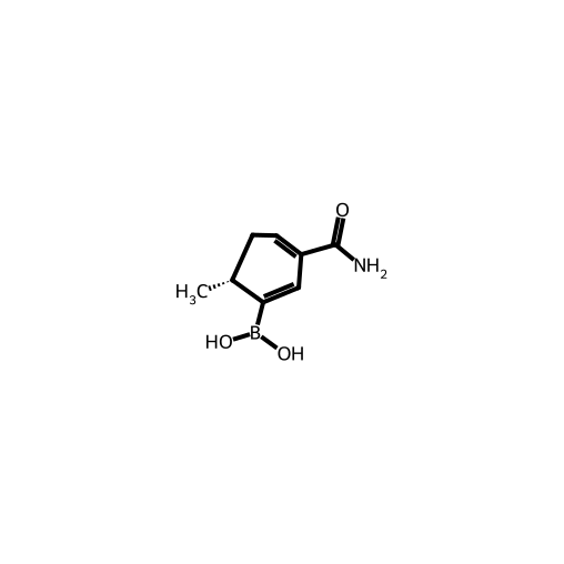 C[C@@H]1CC=C(C(N)=O)C=C1B(O)O